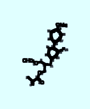 C=C(C)C(=O)OCC(COC=O)Cc1ccc(-c2ccc(OC)cc2)c(F)c1